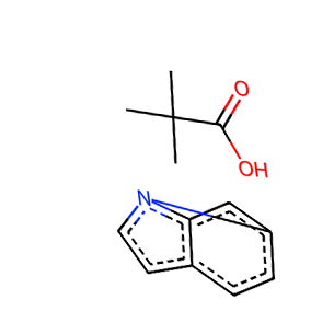 CC(C)(C)C(=O)O.c1cc2ccn3c2cc1-3